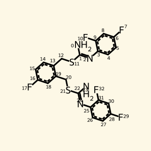 N/C(=N\c1ccc(F)cc1F)SCc1ccc(F)cc1CS/C(N)=N/c1ccc(F)cc1F